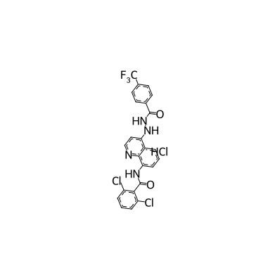 Cl.O=C(NNc1ccnc2c(NC(=O)c3c(Cl)cccc3Cl)cccc12)c1ccc(C(F)(F)F)cc1